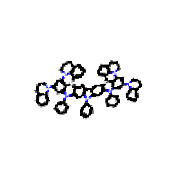 c1ccc(N2c3cc4c(cc3B3c5cccc6c5N(CCC6)c5cc(N6CCCc7ccccc76)cc2c53)c2cc3c(cc2n4-c2ccccc2)N(c2ccccc2)c2cc(N4CCCc5ccccc54)cc4c2B3c2cccc3c2N4CCC3)cc1